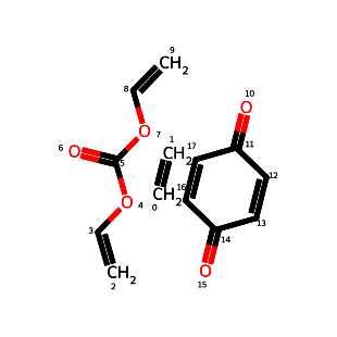 C=C.C=COC(=O)OC=C.O=C1C=CC(=O)C=C1